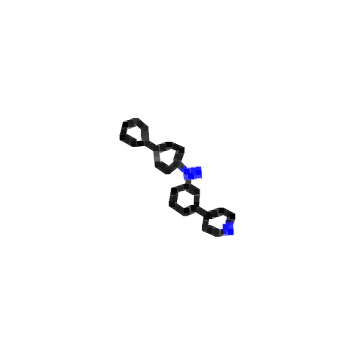 c1ccc(-c2ccc(Nc3cccc(-c4ccncc4)c3)cc2)cc1